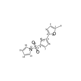 Cc1ccc(-c2ccc(S(=O)(=O)n3cccc3)s2)o1